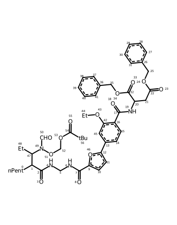 CCCCCC(C(=O)NCNC(=O)c1ccc(-c2ccc(C(=O)NC(CC(=O)OCc3ccccc3)C(=O)OCc3ccccc3)c(OCC)c2)o1)C(CC)N(C=O)OCOC(=O)C(C)(C)C